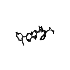 Cc1ccncc1-c1ccc2nc(NC(=O)C3CC3F)cn2c1